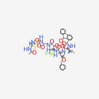 CC[C@@H](C)[C@H](NC(=O)c1cccc2c1C(=O)c1ccccc1-2)C(=O)N1C[C@H](OCc2ccccc2)C[C@H]1C(=O)N[C@@H](CC(F)F)C(=O)C(=O)NCC(=O)NS(=O)(=O)c1nnc(NC(C)=O)s1